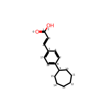 O=C(O)C=Cc1ccc(C2CCCCCC2)cc1